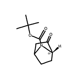 CC(C)(C)OC(=O)N1C2CC[C@H]1C(=O)C2